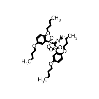 CCCCOc1ccc(OCCCC)c(S(=O)(=O)C(=[N+]=[N-])S(=O)(=O)c2cc(OCCCC)ccc2OCCCC)c1